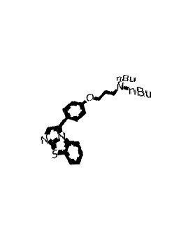 CCCCN(CCCC)CCCOc1ccc(-c2cnc3sc4ccccc4n23)cc1